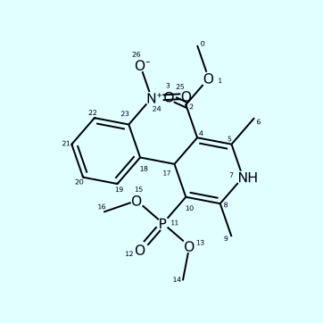 COC(=O)C1=C(C)NC(C)=C(P(=O)(OC)OC)C1c1ccccc1[N+](=O)[O-]